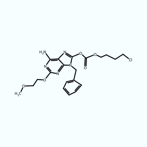 COCCOc1nc(N)c2nc(OC(=O)OCCCCCl)n(Cc3ccccc3)c2n1